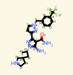 NC(=O)c1c(-c2ccn(Cc3cccc(C(F)(F)F)c3)n2)nn([C@H]2C[C@@]3(CCNC3)C2)c1N